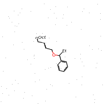 [CH2]CC(OCCCCCCCCCCCC)c1ccccc1